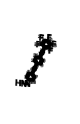 N=Nc1ccc(C#Cc2ccc(C#Cc3c(F)c(F)c(F)c(F)c3F)cc2)cc1